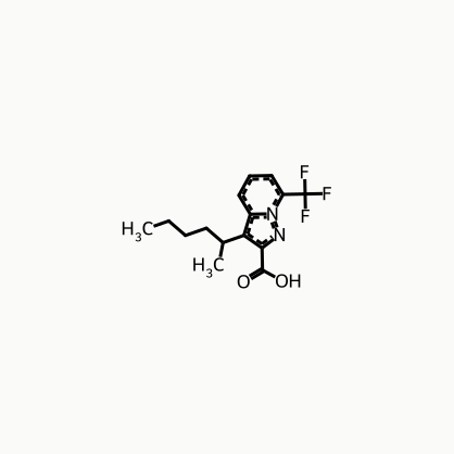 CCCCC(C)c1c(C(=O)O)nn2c(C(F)(F)F)cccc12